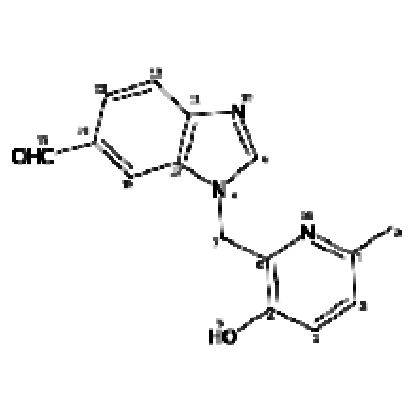 Cc1ccc(O)c(Cn2cnc3ccc(C=O)cc32)n1